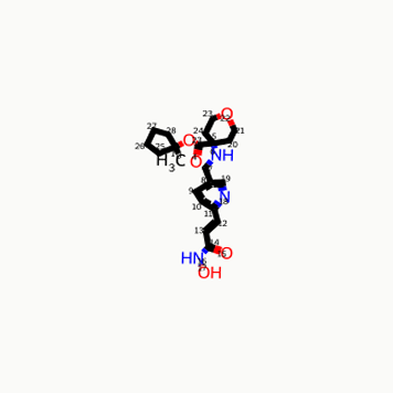 CC1(OC(=O)C2(NCc3ccc(C=CC(=O)NO)nc3)CCOCC2)CCCC1